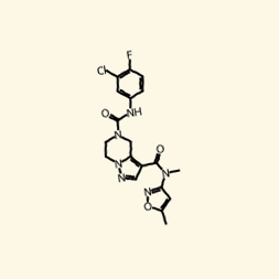 Cc1cc(N(C)C(=O)c2cnn3c2CN(C(=O)Nc2ccc(F)c(Cl)c2)CC3)no1